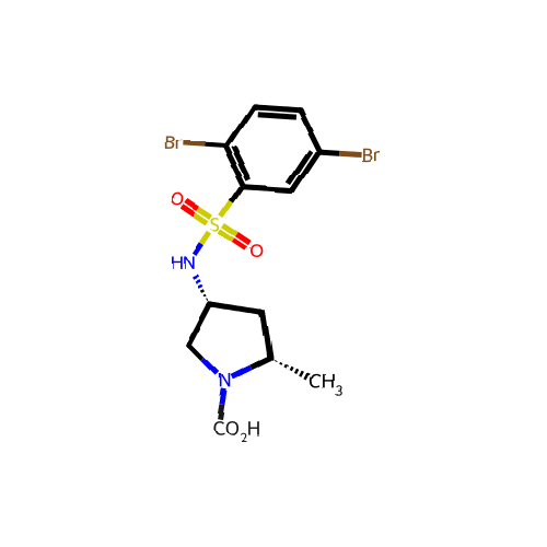 C[C@H]1C[C@@H](NS(=O)(=O)c2cc(Br)ccc2Br)CN1C(=O)O